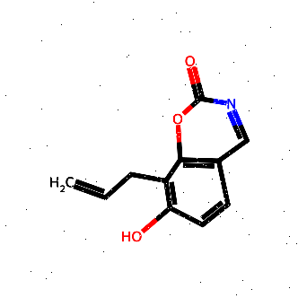 C=CCc1c(O)ccc2cnc(=O)oc12